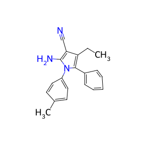 CCc1c(C#N)c(N)n(-c2ccc(C)cc2)c1-c1ccccc1